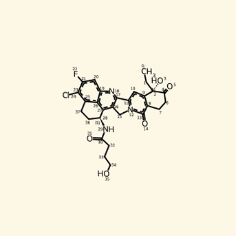 CC[C@@]1(O)C(=O)CCc2c1cc1n(c2=O)Cc2c-1nc1cc(F)c(Cl)c3c1c2[C@@H](NC(=O)CCCO)CC3